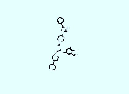 CN1CCC(C2CCN(C(=O)[C@@H](Cc3cc(Cl)c4[nH]ncc4c3)OC(=O)N3CCC(n4nc(-c5ccccc5)[nH]c4=O)CC3)CC2)CC1